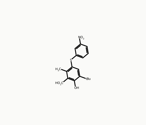 Cc1c(Sc2cccc([N+](=O)[O-])c2)cc(C(C)(C)C)c(O)c1C(=O)O